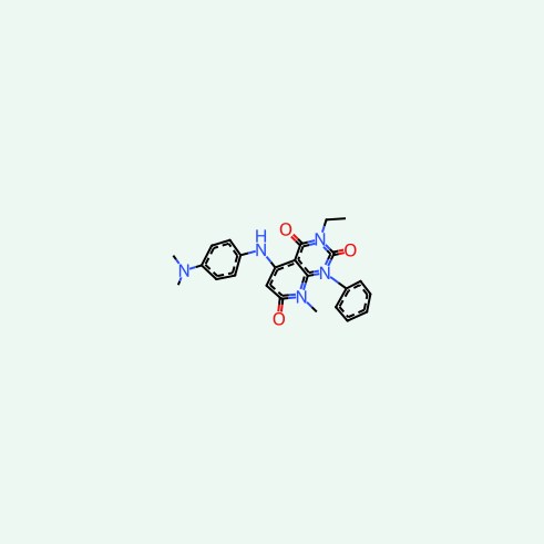 CCn1c(=O)c2c(Nc3ccc(N(C)C)cc3)cc(=O)n(C)c2n(-c2ccccc2)c1=O